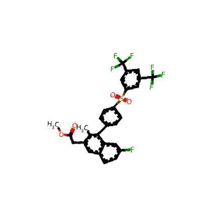 COC(=O)Cc1cc2ccc(F)cc2c(-c2ccc(S(=O)(=O)c3cc(C(F)(F)F)cc(C(F)(F)F)c3)cc2)c1C